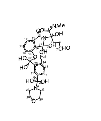 CNC(=O)C(O)(CCC=O)N1C(=O)c2cccc(OC(O)(O)c3cc(C(O)(O)N4CCOCC4)ccc3F)c2C1(O)O